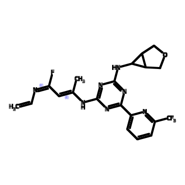 C=C/N=C(F)\C=C(/C)Nc1nc(NC2C3COCC32)nc(-c2cccc(C(F)(F)F)n2)n1